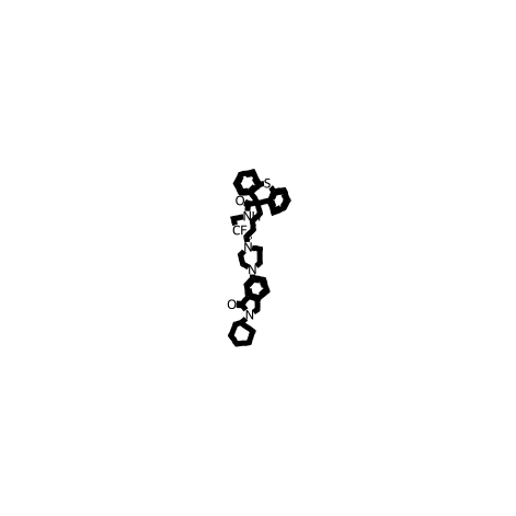 O=C1c2cc(N3CCN(CCCCC4(C(=O)NCC(F)(F)F)c5ccccc5Sc5ccccc54)CC3)ccc2CN1C1CCCCC1